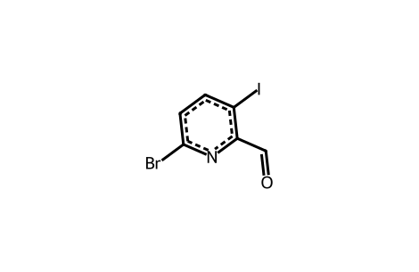 O=Cc1nc(Br)ccc1I